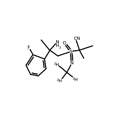 [2H]C([2H])([2H])N=S(=O)(CC(C)(N)c1ccccc1F)C(C)(C)C#N